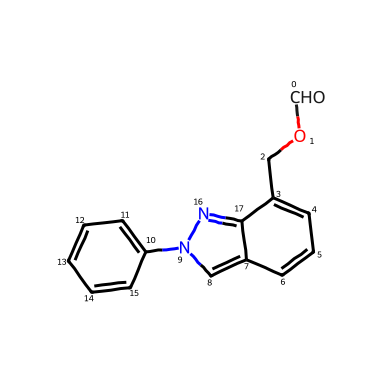 O=COCc1cccc2cn(-c3ccccc3)nc12